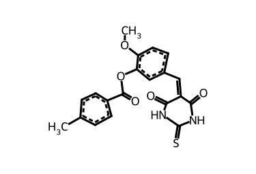 COc1ccc(C=C2C(=O)NC(=S)NC2=O)cc1OC(=O)c1ccc(C)cc1